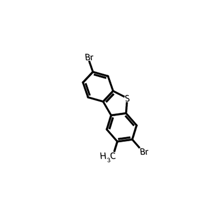 Cc1cc2c(cc1Br)sc1cc(Br)ccc12